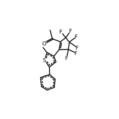 CC(=O)C1=C(c2cc(-c3ccccc3)sc2C)C(F)(F)C(F)(F)C1(F)F